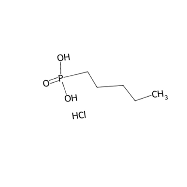 CCCCCP(=O)(O)O.Cl